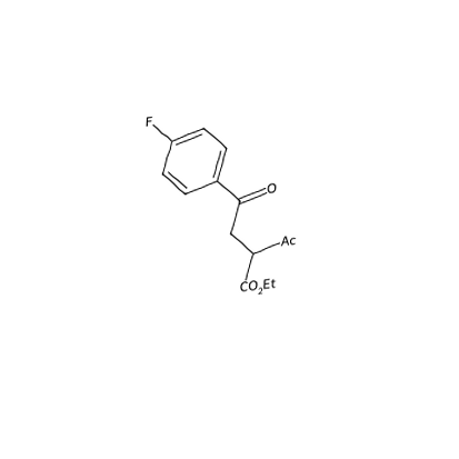 CCOC(=O)C(CC(=O)c1ccc(F)cc1)C(C)=O